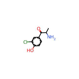 CC(N)C(=O)c1ccc(O)c(Cl)c1